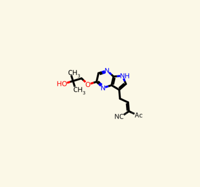 CC(=O)C(C#N)=CCc1c[nH]c2ncc(OCC(C)(C)O)nc12